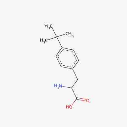 CC(C)(C)c1ccc(CC(N)C(=O)O)cc1